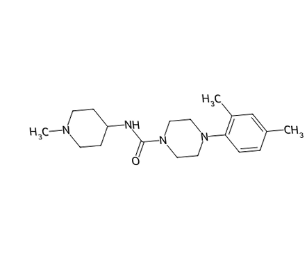 Cc1ccc(N2CCN(C(=O)NC3CCN(C)CC3)CC2)c(C)c1